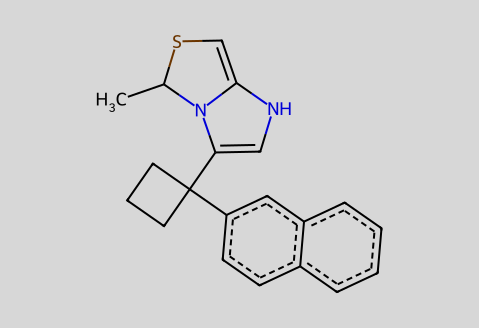 CC1SC=C2NC=C(C3(c4ccc5ccccc5c4)CCC3)N21